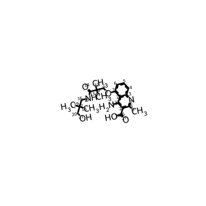 Cc1nc2cccc(OCC(C)(C)C(=O)NCC(C)(C)CO)c2c(N)c1C(=O)O